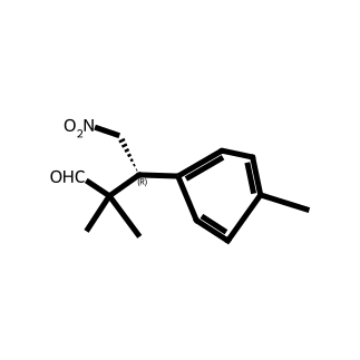 Cc1ccc([C@@H](C[N+](=O)[O-])C(C)(C)C=O)cc1